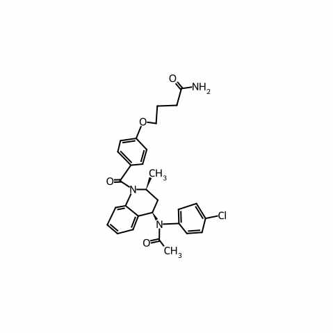 CC(=O)N(c1ccc(Cl)cc1)[C@@H]1C[C@H](C)N(C(=O)c2ccc(OCCCC(N)=O)cc2)c2ccccc21